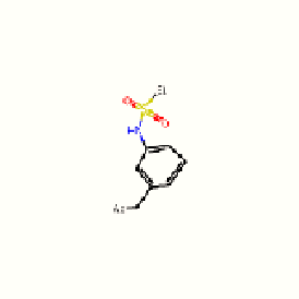 CCS(=O)(=O)Nc1cccc(CC(C)=O)c1